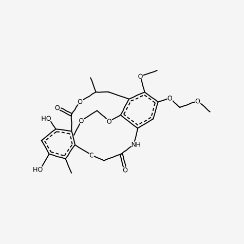 COCOc1cc2c(OCOC)c(c1OC)CC(C)OC(=O)c1c(O)cc(O)c(C)c1CCC(=O)N2